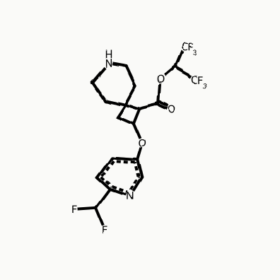 O=C(OC(C(F)(F)F)C(F)(F)F)C1C(Oc2ccc(C(F)F)nc2)CC12CCNCC2